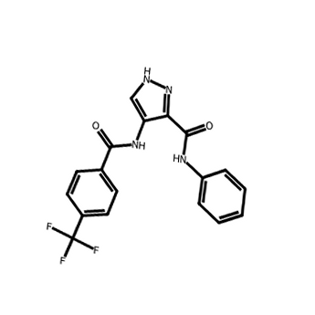 O=C(Nc1c[nH]nc1C(=O)Nc1ccccc1)c1ccc(C(F)(F)F)cc1